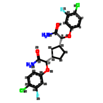 NC(=O)C(Oc1ccc(Cl)c(F)c1)[C@@H]1CC[C@H](C(Oc2ccc(Cl)c(F)c2)C(N)=O)C1